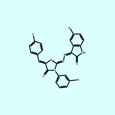 CC(C)c1cccc(N2C(=O)C(=Cc3ccc(F)cc3)SC2=NN=C2C(=O)Nc3ccc(Cl)cc32)c1